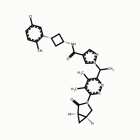 Cc1c(C(C)n2cc(C(=O)N[C@H]3C[C@@H](c4cc(Cl)ccc4C#N)C3)cn2)nnc(N2C[C@H]3C[C@H]3C2=O)c1C